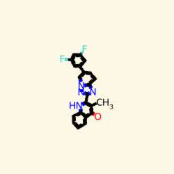 Cc1c(-c2nc3ccc(-c4cc(F)cc(F)c4)cn3n2)[nH]c2ccccc2c1=O